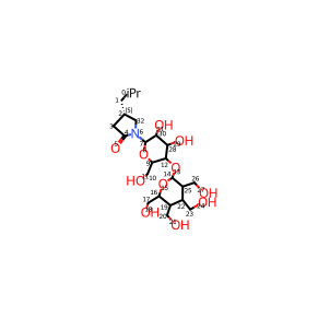 CC(C)C[C@H]1CC(=O)N(C2OC(CO)C(OC3OC(CO)C(CO)C(CO)C3CO)C(O)C2O)C1